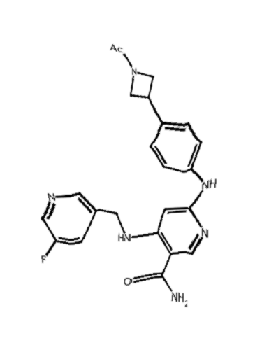 CC(=O)N1CC(c2ccc(Nc3cc(NCc4cncc(F)c4)c(C(N)=O)cn3)cc2)C1